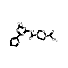 CC(=O)N1CCN(C(=O)Nc2nc(C)nc(-c3ccccn3)n2)CO1